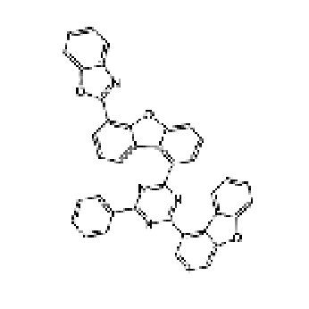 c1ccc(-c2nc(-c3cccc4oc5ccccc5c34)nc(-c3cccc4oc5c(-c6nc7ccccc7o6)cccc5c34)n2)cc1